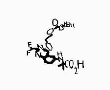 CC(C)(C)OC(=O)OCCOc1nc(C(F)F)nc2ccc(NC(C)(C)C(=O)O)cc12